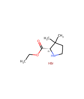 Br.CCOC(=O)[C@H]1NCCC1(C)C